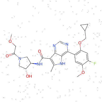 COCC(=O)N1C[C@@H](O)[C@H](NC(=O)c2c(C)[nH]c3c(-c4cc(OC)c(F)cc4OCC4CC4)ncnc23)C1